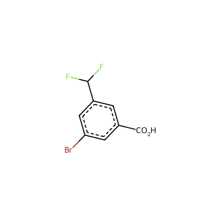 O=C(O)c1cc(Br)cc(C(F)F)c1